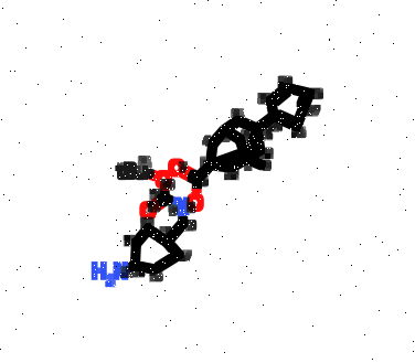 CC12CC3CC(C(=O)ON(CC4CCC(N)CC4)C(=O)OC(C)(C)C)(C1)CC(c1ccccc1)(C3)C2